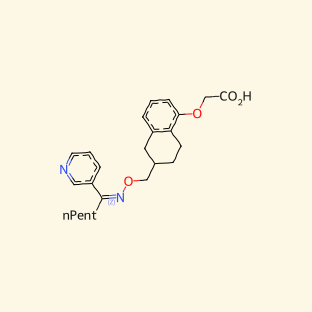 CCCCC/C(=N/OCC1CCc2c(cccc2OCC(=O)O)C1)c1cccnc1